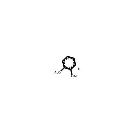 CC(=O)Oc1ccccc1OC(C)=O.I